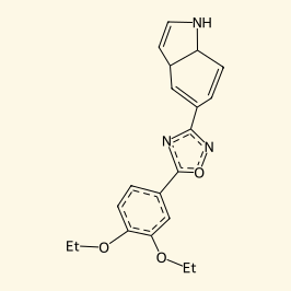 CCOc1ccc(-c2nc(C3=CC4C=CNC4C=C3)no2)cc1OCC